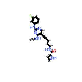 CCCNc1nc(Nc2cccc(F)c2)ncc1C#CCCCNC(=O)[C@@H]1CCN1